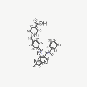 C/C(=C\c1cnc2cc(C)nn2c1/N=C/c1ccc(CN2CCC(C(=O)O)CC2)cc1)c1ccccc1